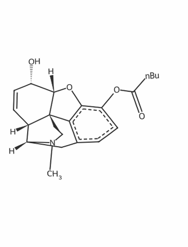 CCCCC(=O)Oc1ccc2c3c1O[C@H]1[C@@H](O)C=C[C@H]4[C@@H](C2)N(C)CC[C@@]341